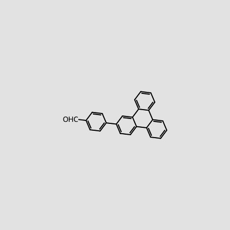 O=Cc1ccc(-c2ccc3c4ccccc4c4ccccc4c3c2)cc1